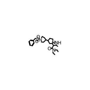 CCN(CC)C(=O)C1C(C)NN2CCC(C3CCN(S(=O)(=O)Cc4ccccc4)CC3)CC12